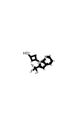 OC1CC(n2c(C(F)(F)F)cc3cccnc32)C1